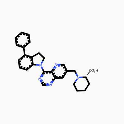 O=C(O)[C@@H]1CCCCN1Cc1cnc2c(N3CCc4c(-c5ccccc5)cccc43)ncnc2c1